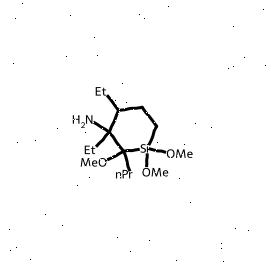 CCCC1(OC)C(N)(CC)C(CC)CC[Si]1(OC)OC